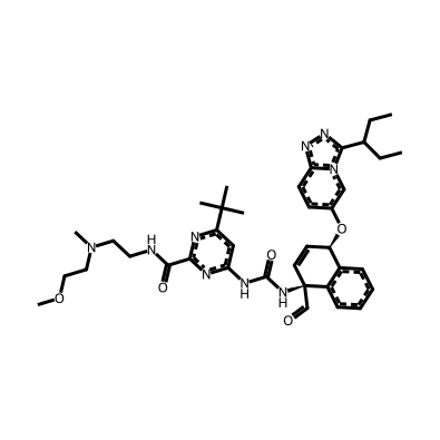 CCC(CC)c1nnc2ccc(O[C@@H]3C=C[C@](C=O)(NC(=O)Nc4cc(C(C)(C)C)nc(C(=O)NCCN(C)CCOC)n4)c4ccccc43)cn12